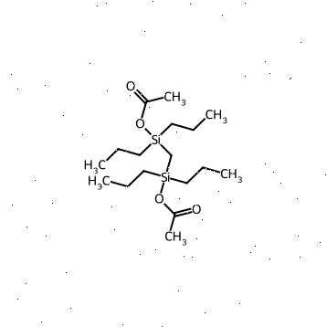 CCC[Si](CCC)(C[Si](CCC)(CCC)OC(C)=O)OC(C)=O